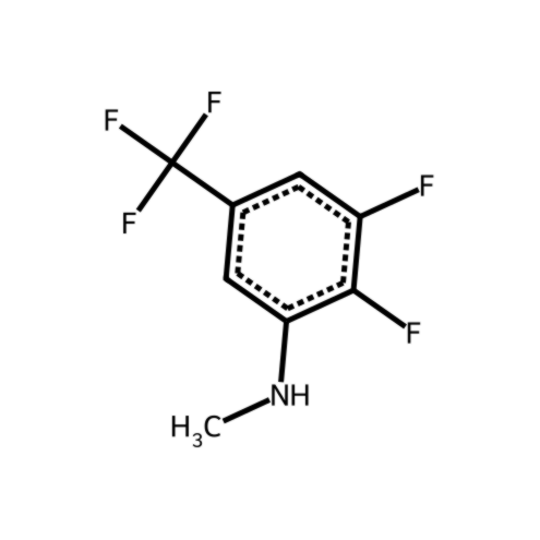 CNc1cc(C(F)(F)F)cc(F)c1F